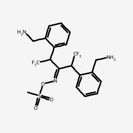 CS(=O)(=O)ON=C(C(c1ccccc1CN)C(F)(F)F)C(c1ccccc1CN)C(F)(F)F